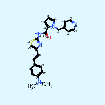 CN(C)c1ccc(/C=C/c2csc(NC(=O)c3cccn3Cc3ccncc3)n2)cc1